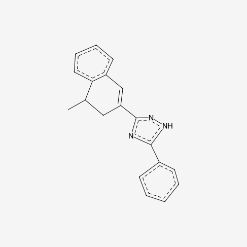 CC1CC(c2n[nH]c(-c3ccccc3)n2)=Cc2ccccc21